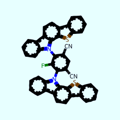 N#Cc1cc(C#N)c(-n2c3ccccc3c3ccc4c5ccccc5sc4c32)c(F)c1-n1c2ccccc2c2ccc3c4ccccc4sc3c21